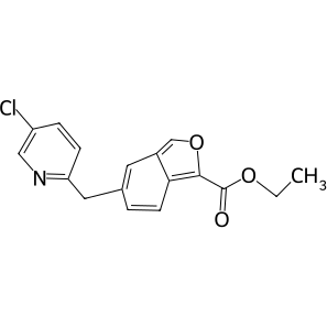 CCOC(=O)c1occ2cc(Cc3ccc(Cl)cn3)ccc12